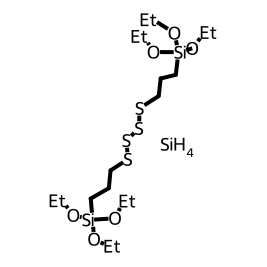 CCO[Si](CCCSSSSCCC[Si](OCC)(OCC)OCC)(OCC)OCC.[SiH4]